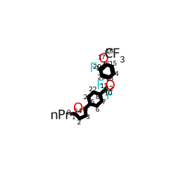 CCCC1CCC(C2CCC(C(F)(F)Oc3ccc(OC(F)(F)F)c(F)c3)CC2)O1